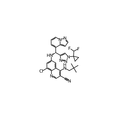 CC(C)(C)CNc1c(C#N)cnc2c(Cl)cc(N[C@H](c3cn(C4(C(F)F)CC4)nn3)c3cccn4nccc34)cc12